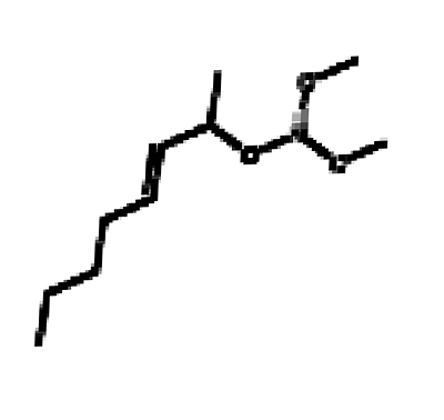 CCCCC=CC(C)O[SiH](OC)OC